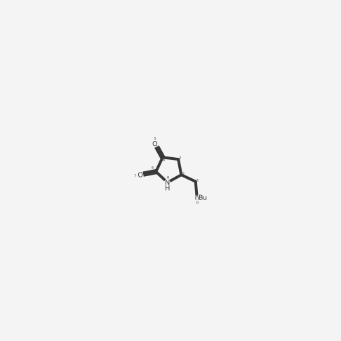 CCCCCC1CC(=O)C(=O)N1